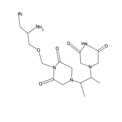 CC(C)CC(N)COCN1C(=O)CN(C(C)C(C)N2CC(=O)NC(=O)C2)CC1=O